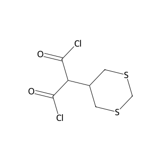 O=C(Cl)C(C(=O)Cl)C1CSCSC1